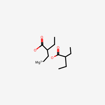 CCC(CC)C(=O)[O-].CCC(CC)C(=O)[O-].[Mg+2]